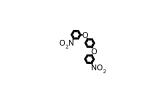 O=[N+]([O-])c1cccc(Oc2ccc(Oc3cccc([N+](=O)[O-])c3)cc2)c1